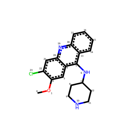 COc1cc2c(NC3CCNCC3)c3ccccc3nc2cc1Cl